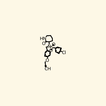 C#CCOc1ccc(CN(C2CCCCNC2=O)S(=O)(=O)c2ccc(Cl)cc2)cc1